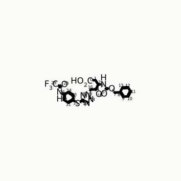 O=C(O)CC(NC(=O)OCc1ccccc1)C(=O)Cn1nnc(Sc2ccc(NC(=O)C(F)(F)F)cc2)n1